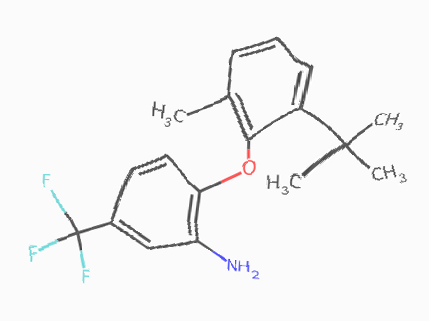 Cc1cccc(C(C)(C)C)c1Oc1ccc(C(F)(F)F)cc1N